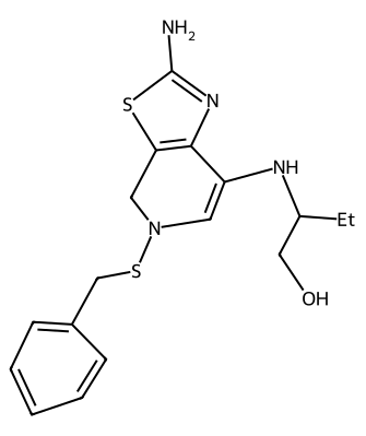 CCC(CO)NC1=CN(SCc2ccccc2)Cc2sc(N)nc21